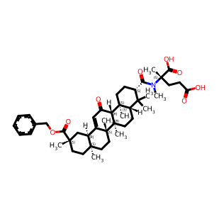 CN(C(=O)[C@H]1CC[C@]2(C)[C@H]3C(=O)C=C4[C@@H]5C[C@@](C)(C(=O)OCc6ccccc6)CC[C@]5(C)CC[C@@]4(C)[C@]3(C)CC[C@H]2C1(C)C)[C@@](C)(CCC(=O)O)C(=O)O